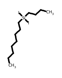 CCCCCCCC[Si](I)(I)CCCC